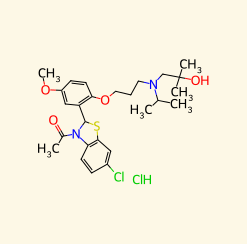 COc1ccc(OCCCN(CC(C)(C)O)C(C)C)c(C2Sc3cc(Cl)ccc3N2C(C)=O)c1.Cl